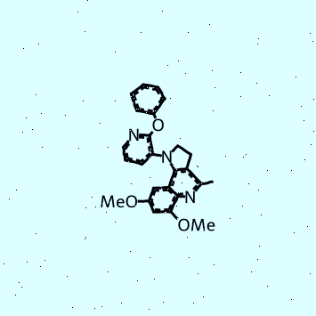 COc1cc(OC)c2nc(C)c3c(c2c1)N(c1cccnc1Oc1ccccc1)CC3